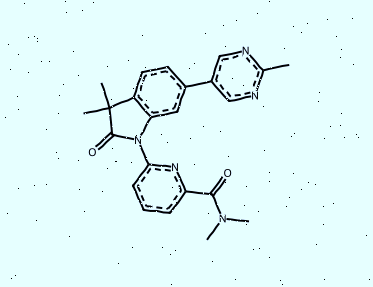 Cc1ncc(-c2ccc3c(c2)N(c2cccc(C(=O)N(C)C)n2)C(=O)C3(C)C)cn1